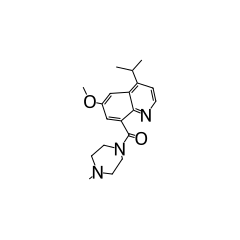 COc1cc(C(=O)N2CCN(C)CC2)c2nccc(C(C)C)c2c1